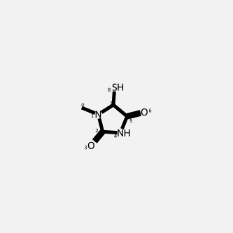 CN1C(=O)NC(=O)C1S